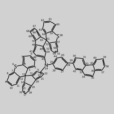 c1ccc2c(c1)Sc1ccccc1C21c2ccccc2-c2ccc(N(c3ccc(-c4ccc5c(ccc6ccccc65)c4)cc3)c3ccc4c(c3)C3(c5ccccc5Sc5ccccc53)c3ccccc3-4)cc21